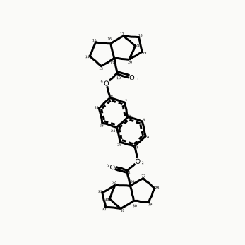 O=C(Oc1ccc2cc(OC(=O)C34CCCC3C3CCC4C3)ccc2c1)C12CCCC1C1CCC2C1